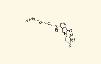 [N-]=[N+]=NCCOCCOCC[S+]([O-])c1cccc2c1CN(C1CCC(=O)NC1=O)C2=O